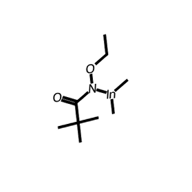 CCO[N](C(=O)C(C)(C)C)[In]([CH3])[CH3]